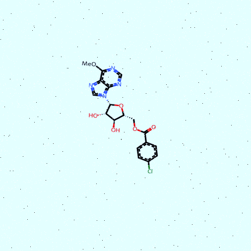 COc1ncnc2c1ncn2[C@@H]1O[C@H](COC(=O)c2ccc(Cl)cc2)[C@@H](O)[C@@H]1O